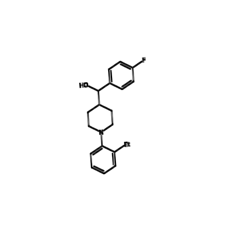 CCc1ccccc1N1CCC(C(O)c2ccc(F)cc2)CC1